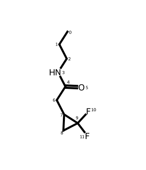 CCCNC(=O)CC1CC1(F)F